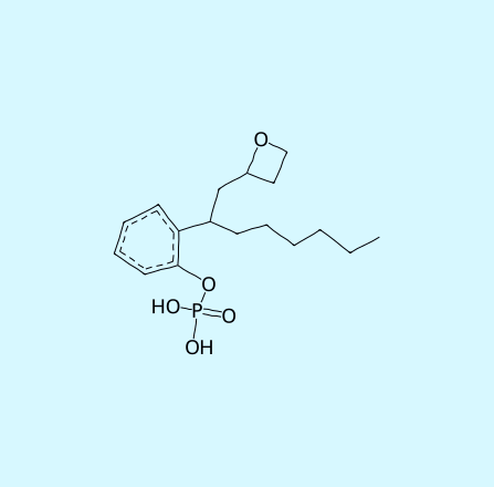 CCCCCCC(CC1CCO1)c1ccccc1OP(=O)(O)O